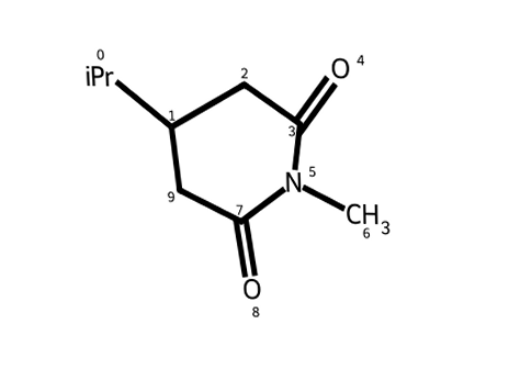 CC(C)C1CC(=O)N(C)C(=O)C1